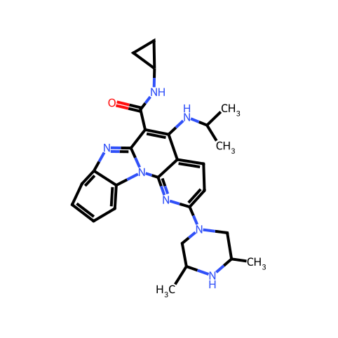 CC(C)Nc1c(C(=O)NC2CC2)c2nc3ccccc3n2c2nc(N3CC(C)NC(C)C3)ccc12